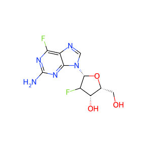 Nc1nc(F)c2ncn([C@@H]3O[C@H](CO)[C@H](O)C3F)c2n1